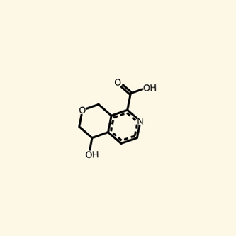 O=C(O)c1nccc2c1COCC2O